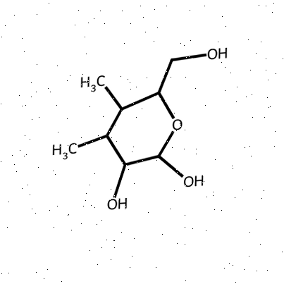 CC1C(CO)OC(O)C(O)C1C